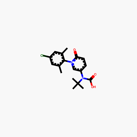 Cc1cc(Cl)cc(C)c1-n1cc(N(C(=O)O)C(C)(C)C)ccc1=O